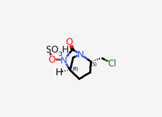 O=C1N2C[C@@H](CC[C@H]2CCl)N1OS(=O)(=O)O